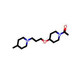 CC(=O)N1CCC(OCCCN2CCC(C)CC2)CC1